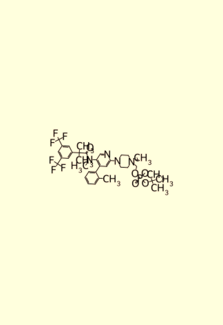 Cc1ccccc1-c1cc(N2CC[N+](C)(COP(=O)([O-])OC(C)(C)C)CC2)ncc1N(C)C(=O)C(C)(C)c1cc(C(F)(F)F)cc(C(F)(F)F)c1